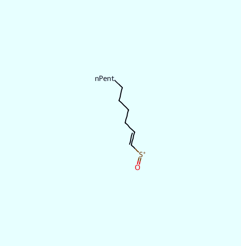 CCCCCCCCCC=C[S+]=O